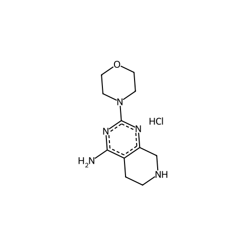 Cl.Nc1nc(N2CCOCC2)nc2c1CCNC2